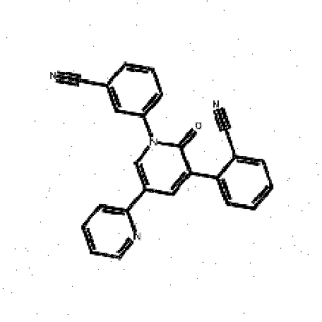 N#Cc1cccc(-n2cc(-c3ccccn3)cc(-c3ccccc3C#N)c2=O)c1